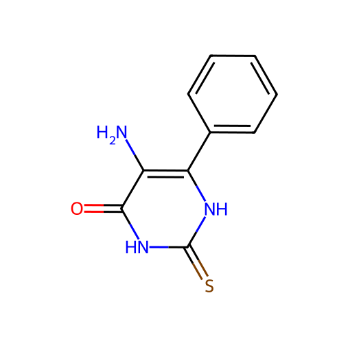 Nc1c(-c2ccccc2)[nH]c(=S)[nH]c1=O